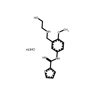 COc1ccc(NC(=N)c2cccs2)cc1CNCCO.Cl.Cl